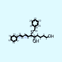 OCCCC[C@H](O)[C@@H](/C=C/C=C/c1ccccc1)SCc1ccccc1